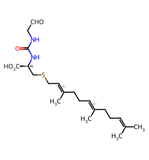 CC(C)=CCC/C(C)=C/CC/C(C)=C/CSC[C@H](NC(=O)NCC=O)C(=O)O